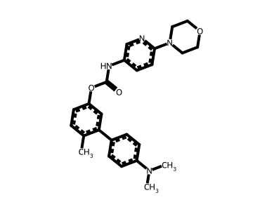 Cc1ccc(OC(=O)Nc2ccc(N3CCOCC3)nc2)cc1-c1ccc(N(C)C)cc1